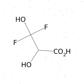 O=C(O)C(O)C(O)(F)F